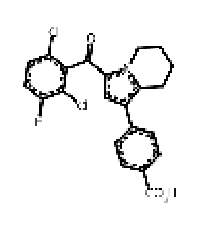 O=C(O)c1ccc(-c2cc(C(=O)c3c(Cl)ccc(F)c3Cl)n3c2CCCC3)cc1